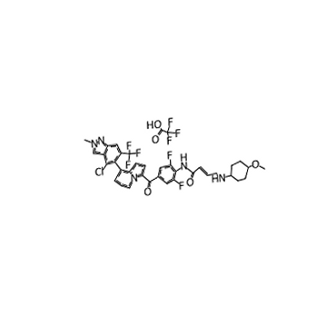 COC1CCC(NC/C=C/C(=O)Nc2c(F)cc(C(=O)c3ccc4c(-c5c(C(F)(F)F)cc6nn(C)cc6c5Cl)cccn34)cc2F)CC1.O=C(O)C(F)(F)F